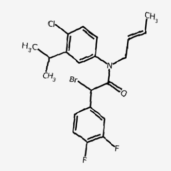 CC=CCN(C(=O)C(Br)c1ccc(F)c(F)c1)c1ccc(Cl)c(C(C)C)c1